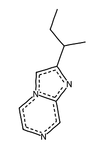 CCC(C)c1cn2ccncc2n1